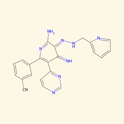 N#Cc1cccc(C2=C(c3ccncn3)C(=N)/C(=N\NCc3ccccn3)C(N)=N2)c1